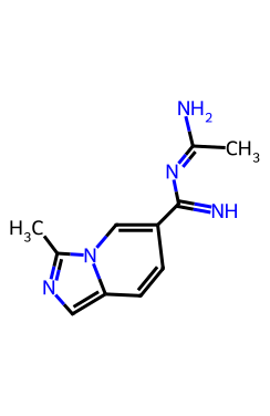 C/C(N)=N\C(=N)c1ccc2cnc(C)n2c1